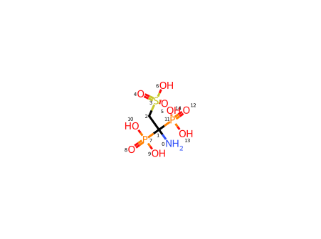 NC(CS(=O)(=O)O)(P(=O)(O)O)P(=O)(O)O